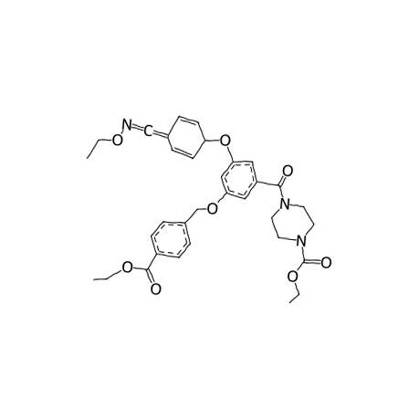 CCON=C=C1C=CC(Oc2cc(OCc3ccc(C(=O)OCC)cc3)cc(C(=O)N3CCN(C(=O)OCC)CC3)c2)C=C1